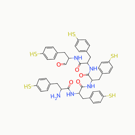 NC(Cc1ccc(S)cc1)C(=O)NC(Cc1ccc(S)cc1)C(=O)NC(Cc1ccc(S)cc1)C(=O)NC(Cc1ccc(S)cc1)C(=O)NC(C=O)Cc1ccc(S)cc1